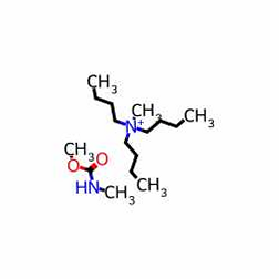 CCCC[N+](C)(CCCC)CCCC.CNC(=O)OC